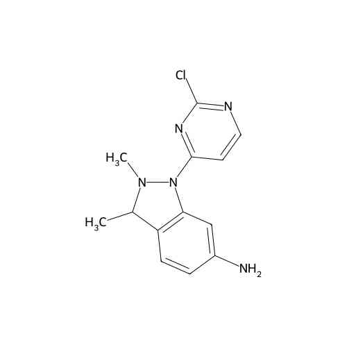 CC1c2ccc(N)cc2N(c2ccnc(Cl)n2)N1C